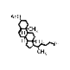 CC(=O)O[C@H]1CC[C@@]2(C)C(=CC[C@H]3C4CC[C@H]([C@H](C)CCCC(C)C)[C@@]4(C)CC[C@@H]32)C1